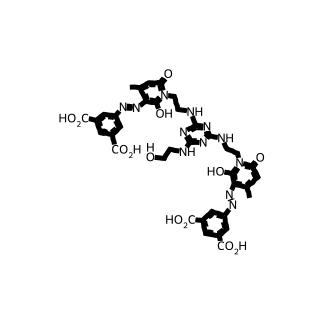 Cc1cc(=O)n(CCNc2nc(NCCO)nc(NCCn3c(O)c(N=Nc4cc(C(=O)O)cc(C(=O)O)c4)c(C)cc3=O)n2)c(O)c1N=Nc1cc(C(=O)O)cc(C(=O)O)c1